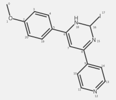 COc1ccc(C2=CC(c3ccncc3)=NC(I)N2)cc1